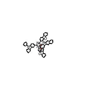 c1ccc(-n2c3ccccc3c3cc(-c4nc(-c5ccc6c(c5)oc5ccccc56)nc(-c5ccc6c(oc7ccccc76)c5-n5c6cc7ccccc7cc6c6cc7ccccc7cc65)n4)ccc32)cc1